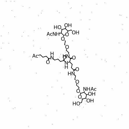 CC(=O)CCCC(=O)NCCCC(=O)NC(CCC(=O)NCCOCCOC1OC(CO)C(O)C(O)C1NC(C)=O)C(=O)NCCOCCOC1OC(CO)C(O)C(O)C1NC(C)=O